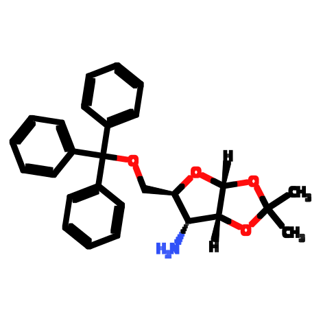 CC1(C)O[C@H]2O[C@H](COC(c3ccccc3)(c3ccccc3)c3ccccc3)[C@@H](N)[C@H]2O1